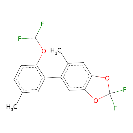 Cc1ccc(OC(F)F)c(-c2cc3c(cc2C)OC(F)(F)O3)c1